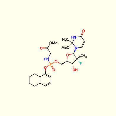 COC(=O)CNP(=O)(OC[C@H]1O[C@@H](N2C=CC(=O)NC2(C)OC)[C@](C)(F)[C@@H]1O)Oc1cccc2c1CCCC2